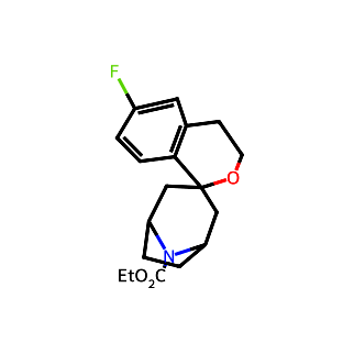 CCOC(=O)N1C2CCC1CC1(C2)OCCc2cc(F)ccc21